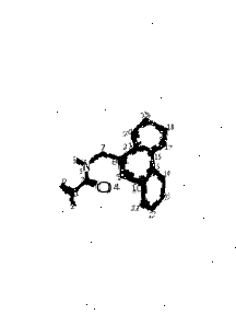 C=C(C)C(=O)N(C)Cc1cc2ccccc2c2ccccc12